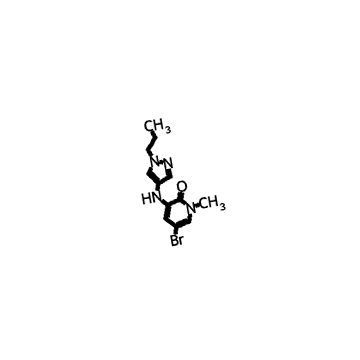 CCCn1cc(Nc2cc(Br)cn(C)c2=O)cn1